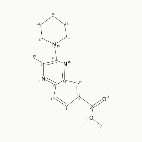 COC(=O)c1ccc2nc(C)c(N3CCCCC3)nc2c1